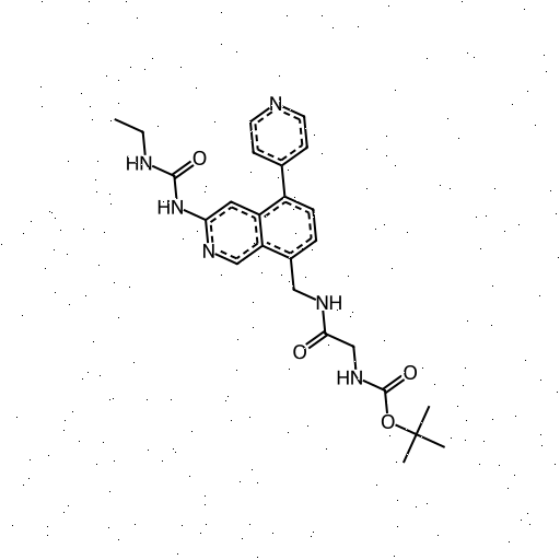 CCNC(=O)Nc1cc2c(-c3ccncc3)ccc(CNC(=O)CNC(=O)OC(C)(C)C)c2cn1